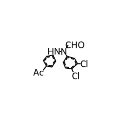 CC(=O)c1ccc(NN(C=O)c2ccc(Cl)c(Cl)c2)cc1